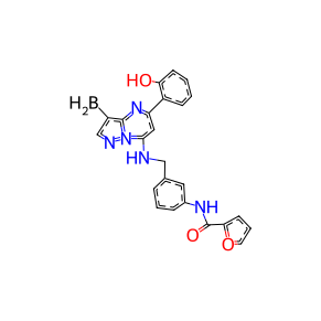 Bc1cnn2c(NCc3cccc(NC(=O)c4ccco4)c3)cc(-c3ccccc3O)nc12